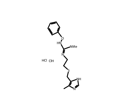 CN/C(=N\CCSCc1[nH]cnc1C)NOc1ccccc1.Cl.Cl